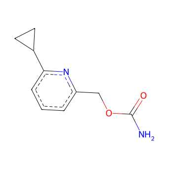 NC(=O)OCc1cccc(C2CC2)n1